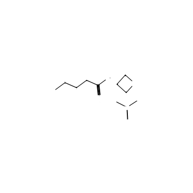 C1COC1.CCCCC(=O)O.CN(C)C